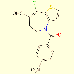 O=CC1=C(Cl)c2sccc2N(C(=O)c2ccc([N+](=O)[O-])cc2)CC1